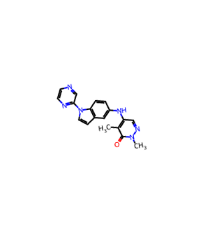 Cc1c(Nc2ccc3c(ccn3-c3cnccn3)c2)cnn(C)c1=O